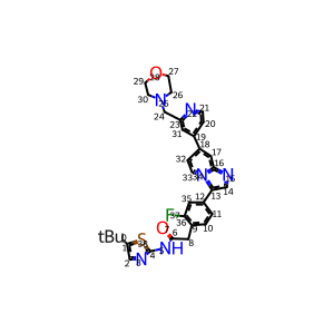 CC(C)(C)c1cnc(NC(=O)Cc2ccc(-c3cnc4cc(-c5ccnc(CN6CCOCC6)c5)ccn34)cc2F)s1